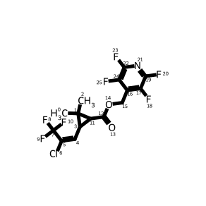 CC1(C)C(/C=C(/Cl)C(F)(F)F)C1C(=O)OCc1c(F)c(F)nc(F)c1F